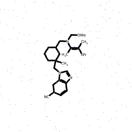 CCC/C(C)=C(\C)N(COC)CC1CCCC(C)(Cn2cnc3c2CC(C#N)C=C3)C1